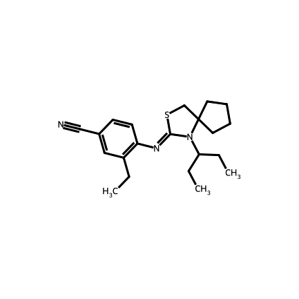 CCc1cc(C#N)ccc1N=C1SCC2(CCCC2)N1C(CC)CC